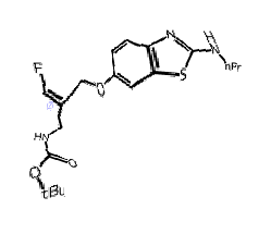 CCCNc1nc2ccc(OC/C(=C\F)CNC(=O)OC(C)(C)C)cc2s1